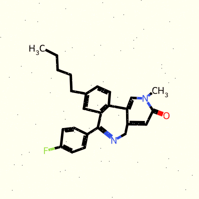 CCCCCc1ccc2c(c1)C(c1ccc(F)cc1)=NCc1cc(=O)n(C)cc1-2